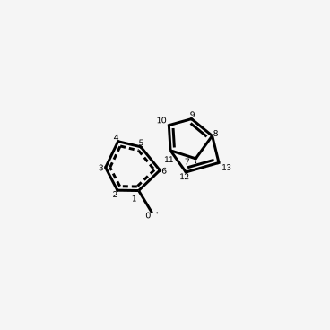 [CH2]c1ccccc1.[CH]1C2=CC=C1C=C2